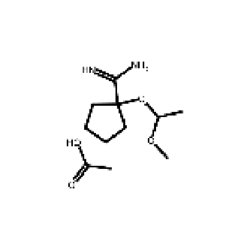 CC(=O)O.COC(C)OC1(C(=N)N)CCCC1